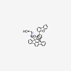 C#C/C=C\C=C/CC1(c2ccccc2O)c2ccccc2-c2ccc3c4ccccc4n(-c4ccc(-c5cccc6c5oc5ccccc56)cc4)c3c21